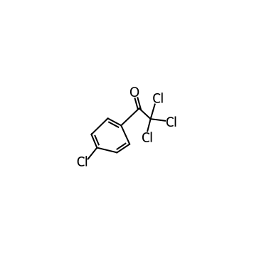 O=C(c1ccc(Cl)cc1)C(Cl)(Cl)Cl